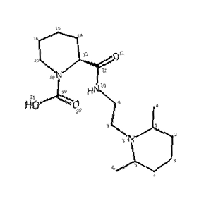 CC1CCCC(C)N1CCNC(=O)[C@@H]1CCCCN1C(=O)O